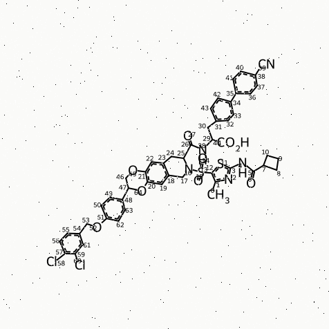 Cc1nc(NC(=O)C2CCC2)sc1S(=O)(=O)N1Cc2cc3c(cc2CC1C(=O)NC(Cc1ccc(-c2ccc(C#N)cc2)cc1)C(=O)O)OCC(c1ccc(OCc2ccc(Cl)c(Cl)c2)cc1)O3